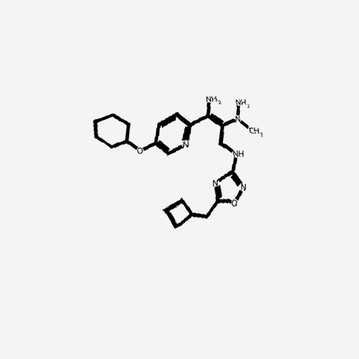 CN(N)/C(CNc1noc(CC2CCC2)n1)=C(\N)c1ccc(OC2CCCCC2)cn1